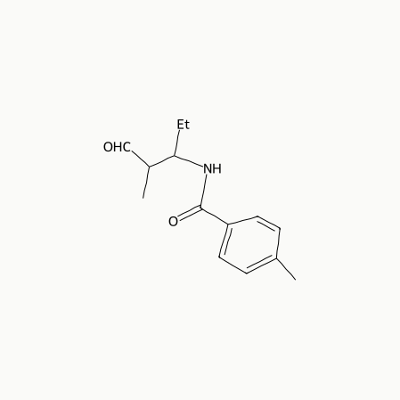 CCC(NC(=O)c1ccc(C)cc1)C(C)C=O